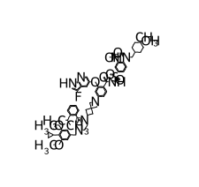 COc1cc(CN2CCN(C3CC4(C3)CN(c3ccc(C(=O)NS(=O)(=O)c5ccc(NCC6CCC(C)(O)CC6)c([N+](=O)[O-])c5)c(Oc5cnc6[nH]cc(F)c6c5)c3)C4)[C@H](c3ccccc3C(C)C)C2)cc(OC)c1C1CC1